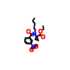 CCCCCN(C(=O)c1cccc([N+](=O)[O-])c1)C1(C(=O)OCC)CC1